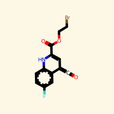 O=C=C1C=C(C(=O)OCCBr)Nc2ccc(F)cc21